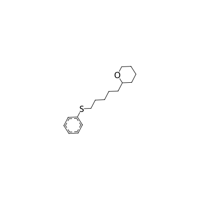 c1ccc(SCCCCCC2CCCCO2)cc1